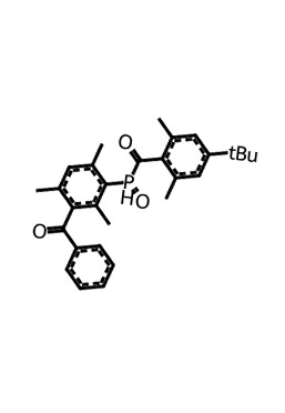 Cc1cc(C(C)(C)C)cc(C)c1C(=O)[PH](=O)c1c(C)cc(C)c(C(=O)c2ccccc2)c1C